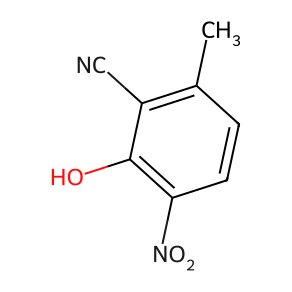 Cc1ccc([N+](=O)[O-])c(O)c1C#N